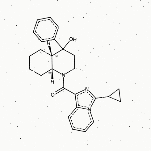 O=C(c1nc(C2CC2)n2ccccc12)N1CCC(O)(c2ccccc2)[C@H]2CCCC[C@H]21